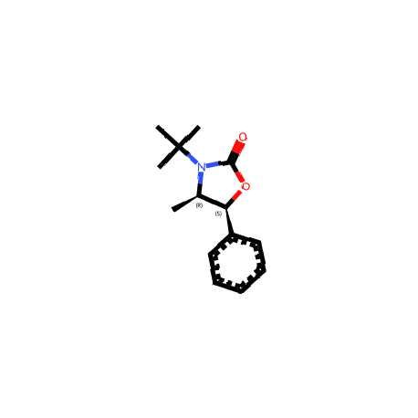 C[C@@H]1[C@H](c2ccccc2)OC(=O)N1C(C)(C)C